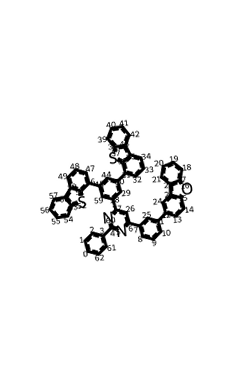 c1ccc(-c2nc(-c3cccc(-c4ccc5oc6ccccc6c5c4)c3)cc(-c3cc(-c4cccc5c4sc4ccccc45)cc(-c4cccc5c4sc4ccccc45)c3)n2)cc1